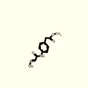 COC(=O)Cc1ccc(NC(=O)/C=N/O)cc1